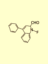 O=CC1C=C(c2ccccc2)c2ccccc2N1F